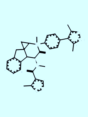 Cc1nocc1C(=O)N(C)[C@@H]1C(=O)[N+](C)(c2ccc(-c3c(C)n[nH]c3C)cc2)C2CC23Cc2ccccc2C13